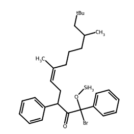 CC(=CCC(C(=O)C(Br)(O[SiH3])c1ccccc1)c1ccccc1)CCCC(C)CC(C)(C)C